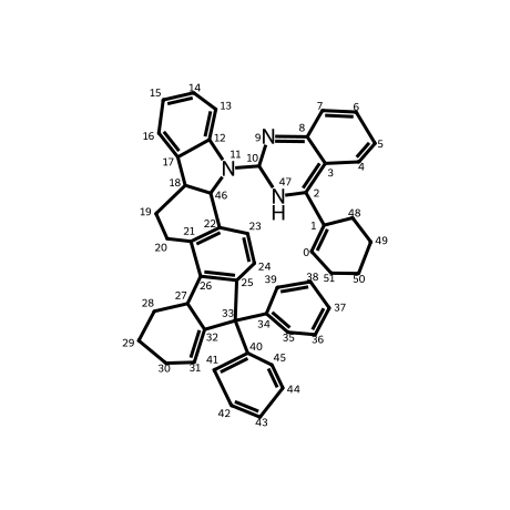 C1=C(C2=c3ccccc3=NC(N3c4ccccc4C4CCc5c(ccc6c5C5CCCC=C5C6(c5ccccc5)c5ccccc5)C43)N2)CCCC1